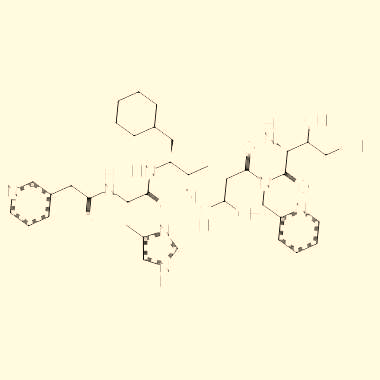 CCC(C)[C@H](N)C(=O)N(Cc1ccccn1)C(=O)[C@@H](C[C@H](O)[C@H](CC1CCCCC1)NC(=O)[C@H](Cc1c[nH]cn1)NC(=O)Cc1cccnc1)C(C)C